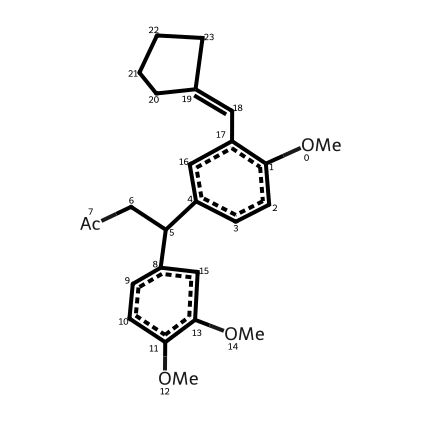 COc1ccc(C(CC(C)=O)c2ccc(OC)c(OC)c2)cc1C=C1CCCC1